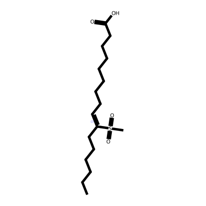 CCCCCC/C(=C/CCCCCCCC(=O)O)S(C)(=O)=O